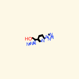 [N-]=[N+]=NC(CO)c1ccc(-n2cnnn2)nc1